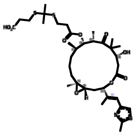 C/C(=C\c1csc(C)n1)[C@@H]1C[C@@H]2O[C@@]2(C)CCC[C@@H](C)[C@H](OC(=O)CCSC(C)(C)SCCC(=O)O)[C@H](C)C(=O)C(C)(C)[C@H](O)CC(=O)O1